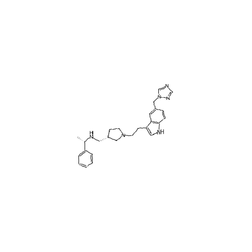 C[C@H](NC[C@@H]1CCN(CCc2c[nH]c3ccc(Cn4cncn4)cc23)C1)c1ccccc1